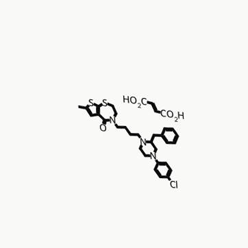 Cc1cc2c(s1)SCCN(CCCCN1CCN(c3ccc(Cl)cc3)CC1Cc1ccccc1)C2=O.O=C(O)C=CC(=O)O